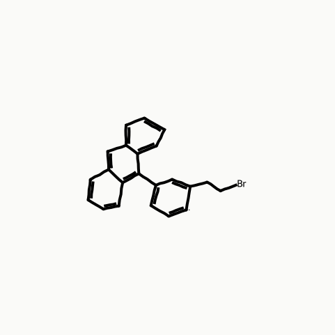 BrCCc1[c]ccc(-c2c3ccccc3cc3ccccc23)c1